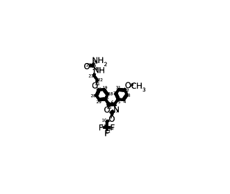 COc1ccc(-c2nc(OCC(F)(F)F)oc2-c2ccc(OCCNC(N)=O)cc2)cc1